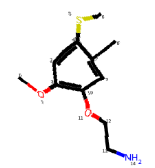 COc1cc(SC)c(C)cc1OCCN